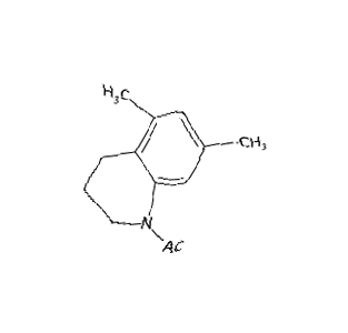 CC(=O)N1CCCc2c(C)cc(C)cc21